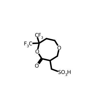 O=C1OC(C(F)(F)F)(C(F)(F)F)CCOCC1CS(=O)(=O)O